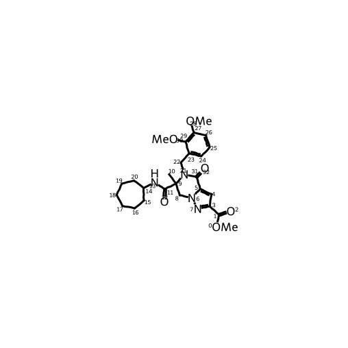 COC(=O)c1cc2n(n1)CC(C)(C(=O)NC1CCCCCC1)N(Cc1cccc(OC)c1OC)C2=O